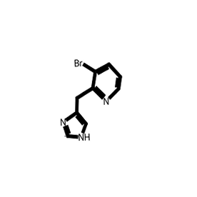 Brc1cccnc1Cc1c[nH][c]n1